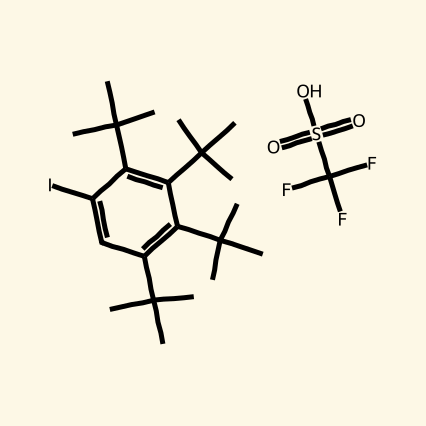 CC(C)(C)c1cc(I)c(C(C)(C)C)c(C(C)(C)C)c1C(C)(C)C.O=S(=O)(O)C(F)(F)F